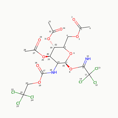 CC(=O)OCC1O[C@@H](OC(=N)C(Cl)(Cl)Cl)C(NC(=O)OCC(Cl)(Cl)Cl)[C@@H](OC(C)=O)[C@@H]1OC(C)=O